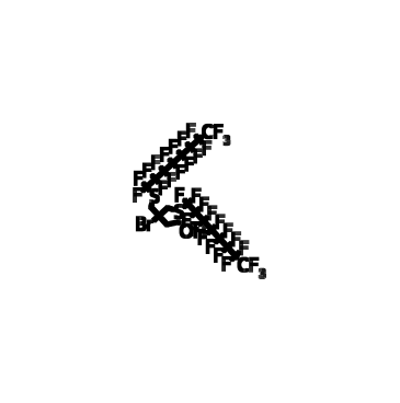 OCCC(Br)(CSC(F)(F)C(F)(F)C(F)(F)C(F)(F)C(F)(F)C(F)(F)C(F)(F)C(F)(F)F)CSC(F)(F)C(F)(F)C(F)(F)C(F)(F)C(F)(F)C(F)(F)C(F)(F)C(F)(F)F